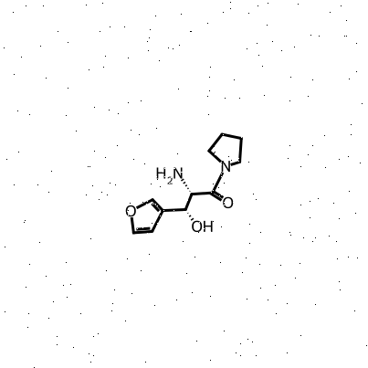 N[C@H](C(=O)N1CCCC1)[C@H](O)c1ccoc1